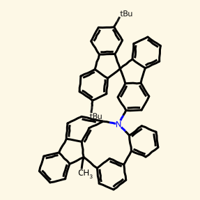 CC(C)(C)c1ccc2c(c1)C1(c3ccccc3-c3ccc(N4c5ccc6c(c5)C(C)(c5cccc(c5)-c5ccccc54)c4ccccc4-6)cc31)c1cc(C(C)(C)C)ccc1-2